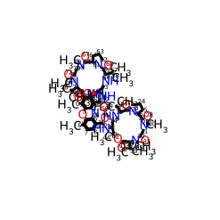 Cc1c2oc3c(C)ccc(C(=O)NC4CNC(C(C)C)C(=O)N5CCCC5C(=O)N(C)CC(=O)N(C)C(C(C)C)C(=O)OC4C)c3nc-2c(C(=O)NC2CNC(C(C)C)C(=O)N3CCCC3C(=O)N(C)CC(=O)N(C)C(C(C)C)C(=O)OC2C)c(N)c1=O